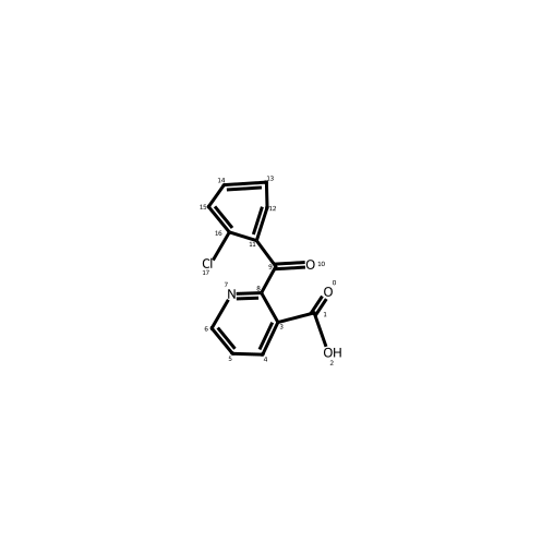 O=C(O)c1cccnc1C(=O)c1ccccc1Cl